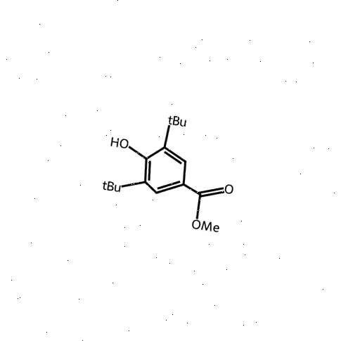 COC(=O)c1cc(C(C)(C)C)c(O)c(C(C)(C)C)c1